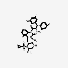 COC(=O)N(C(=O)[C@@H](N)[C@@H](c1ccc(F)cc1)c1cc(F)cc(F)c1)c1cccc(F)c1CC[C@H]1CNC[C@@H](C)N1S(=O)(=O)C1CC1